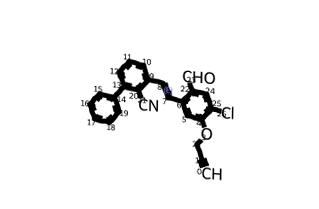 C#CCOc1cc(/C=C/c2cccc(-c3ccccc3)c2C#N)c(C=O)cc1Cl